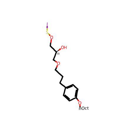 CCCCCCCCOc1ccc(CCCOC[C@H](O)COSI)cc1